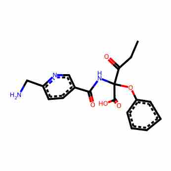 CCC(=O)C(NC(=O)c1ccc(CN)nc1)(Oc1ccccc1)C(=O)O